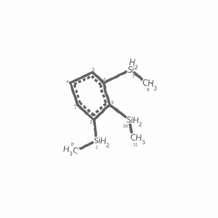 C[SiH2]c1[c]ccc([SiH2]C)c1[SiH2]C